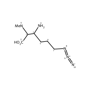 CNC(C(=O)O)C(N)CCCN=[N+]=[N-]